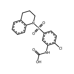 O=C(O)Nc1cc(S(=O)(=O)N2CCCc3ccccc32)ccc1Cl